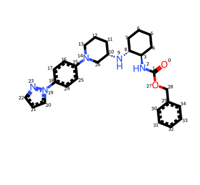 O=C(N[C@@H]1CCCC[C@H]1N[C@H]1CCCN(c2ccc(-n3cccn3)cc2)C1)OCc1ccccc1